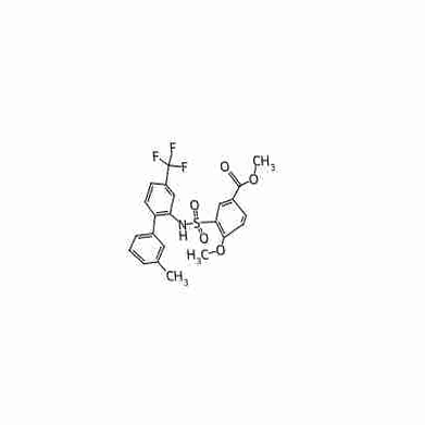 COC(=O)c1ccc(OC)c(S(=O)(=O)Nc2cc(C(F)(F)F)ccc2-c2cccc(C)c2)c1